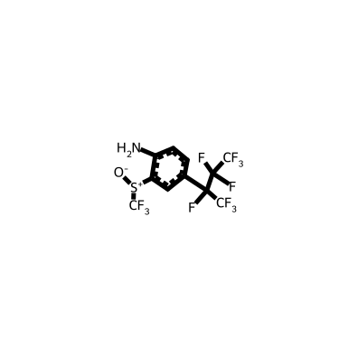 Nc1ccc(C(F)(C(F)(F)F)C(F)(F)C(F)(F)F)cc1[S+]([O-])C(F)(F)F